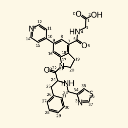 O=C(O)CNC(=O)c1cc(-c2ccncc2)cc2c1CCN2C(=O)C(Cc1ccccc1)NCc1cscn1